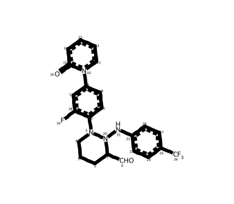 O=CC1CCCN(c2ccc(-n3ccccc3=O)cc2F)N1Nc1ccc(C(F)(F)F)cc1